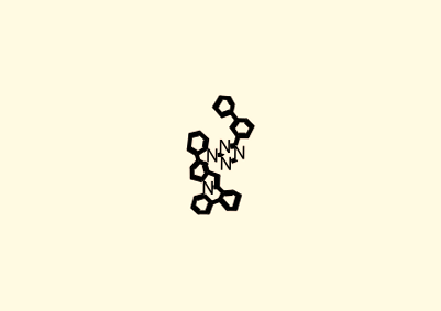 c1ccc(-c2cccc(-c3ncnc(-n4c5ccccc5c5ccc6c(cc7c8ccccc8c8ccccc8n76)c54)n3)c2)cc1